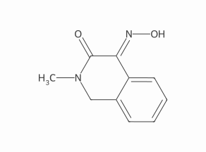 CN1Cc2ccccc2/C(=N\O)C1=O